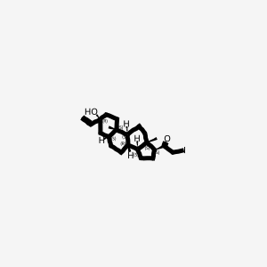 C=C[C@@]1(O)CC[C@@]2(C)[C@@H](CC[C@@H]3[C@@H]2CC[C@]2(C)[C@@H](C(=O)CI)CC[C@@H]32)C1